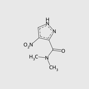 CN(C)C(=O)c1n[nH]cc1[N+](=O)[O-]